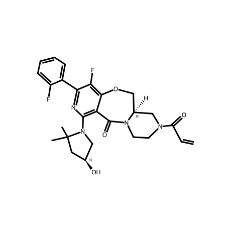 C=CC(=O)N1CCN2C(=O)c3c(N4C[C@@H](O)CC4(C)C)nc(-c4ccccc4F)c(F)c3OC[C@H]2C1